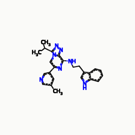 Cc1cncc(-c2cn3c(C(C)C)nnc3c(NCCc3c[nH]c4ccccc34)n2)c1